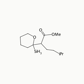 COC(=O)C(CCC(C)C)C1([SiH3])CCCCO1